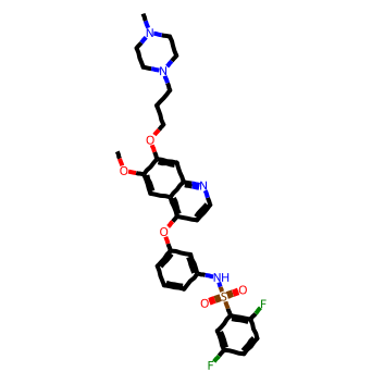 COc1cc2c(Oc3cccc(NS(=O)(=O)c4cc(F)ccc4F)c3)ccnc2cc1OCCCN1CCN(C)CC1